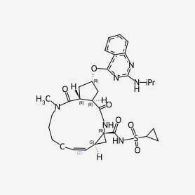 CC(C)Nc1nc(O[C@@H]2C[C@H]3C(=O)N[C@]4(C(=O)NS(=O)(=O)C5CC5)C[C@H]4/C=C\CCCCN(C)C(=O)[C@@H]3C2)c2ccccc2n1